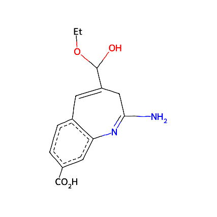 CCOC(O)C1=Cc2ccc(C(=O)O)cc2N=C(N)C1